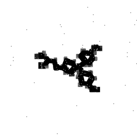 CCCCC(CC)COc1ccc(N(c2ccc(C(C)(C)C)cc2)c2ccc(C(C)(C)C)cc2)cc1